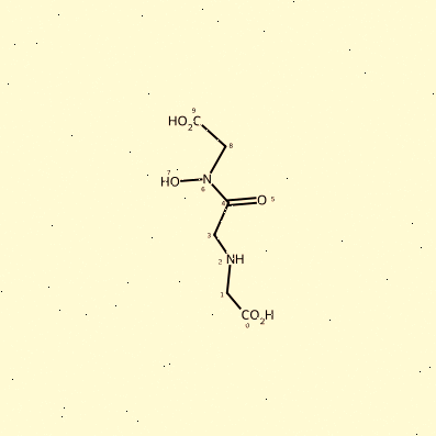 O=C(O)CNCC(=O)N(O)CC(=O)O